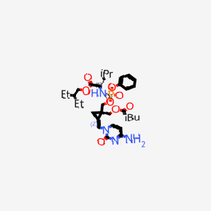 CCC(CC)COC(=O)[C@H](CC(C)C)N[P@](=O)(OCC1(COC(=O)C(C)CC)C/C1=C/n1ccc(N)nc1=O)Oc1ccccc1